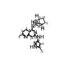 Cc1ccc2c(N[C@@H]3C[C@H]4CC[C@@H](C3)N4)nc(Nc3cc(C)[nH]n3)cc2n1